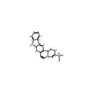 C[SiH](C)C1=CN2C#CC3=C(C=C4c5ccccc5OC4C3)C2CC1